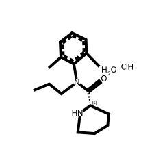 CCCN(C(=O)[C@@H]1CCCCN1)c1c(C)cccc1C.Cl.O